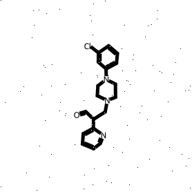 O=CC(CN1CCN(c2cccc(Cl)c2)CC1)c1ccccn1